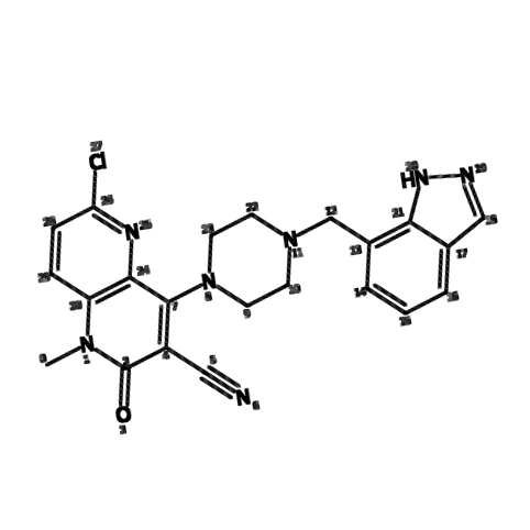 Cn1c(=O)c(C#N)c(N2CCN(Cc3cccc4cn[nH]c34)CC2)c2nc(Cl)ccc21